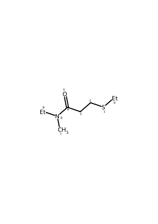 CCSCCC(=O)N(C)CC